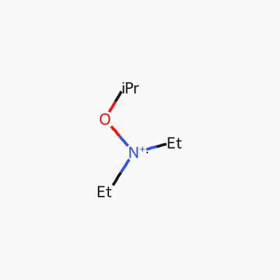 CC[N+](CC)OC(C)C